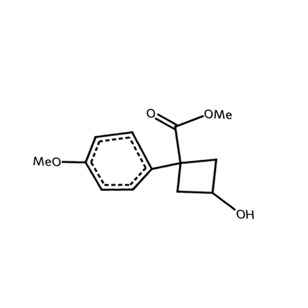 COC(=O)C1(c2ccc(OC)cc2)CC(O)C1